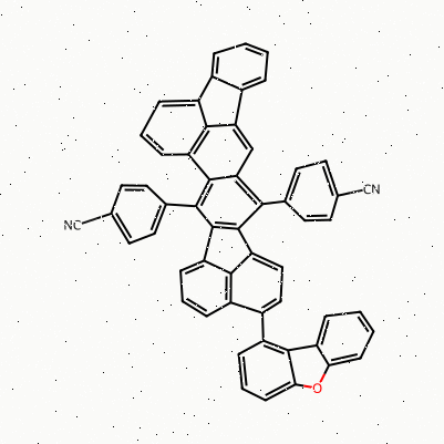 N#Cc1ccc(-c2c3cc4c5ccccc5c5cccc(c3c(-c3ccc(C#N)cc3)c3c6cccc7c(-c8cccc9oc%10ccccc%10c89)ccc(c23)c76)c54)cc1